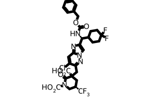 O=C(N[C@H](c1cn2nc(CC3(C(=O)O)C[C@@H](C(F)(F)F)CN(C(=O)O)C3=O)c(Cl)cc2n1)C1CCC(F)(F)CC1)OCc1ccccc1